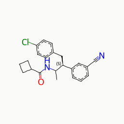 CC(NC(=O)C1CCC1)[C@@H](Cc1ccc(Cl)cc1)c1cccc(C#N)c1